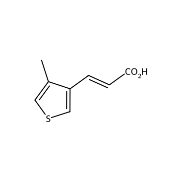 Cc1cscc1C=CC(=O)O